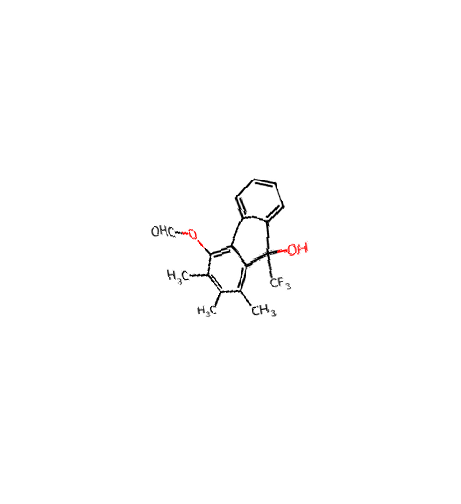 Cc1c(C)c(OC=O)c2c(c1C)C(O)(C(F)(F)F)c1ccccc1-2